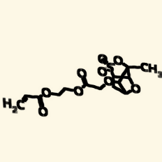 C=CC(=O)OCCOC(=O)COC1C2CC3C(O2)C1(C)OS3(=O)=O